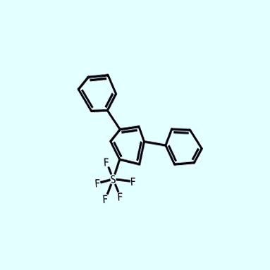 FS(F)(F)(F)(F)c1cc(-c2ccccc2)cc(-c2ccccc2)c1